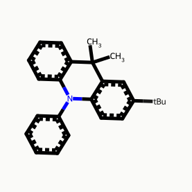 CC(C)(C)c1ccc2c(c1)C(C)(C)c1ccccc1N2c1ccccc1